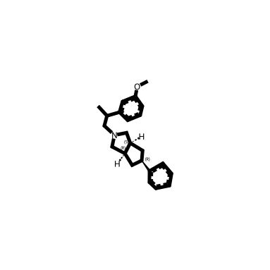 COc1cccc(C(C)CN2C[C@H]3C[C@@H](c4ccccc4)C[C@H]3C2)c1